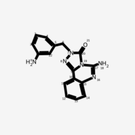 Nc1cccc(Cn2nc3c4ccccc4nc(N)n3c2=O)c1